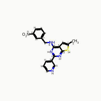 Cc1cc2c(NCc3cccc([N+](=O)[O-])c3)nc(-c3cccnc3)nc2s1